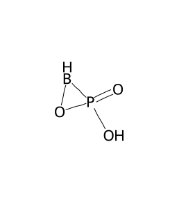 O=P1(O)BO1